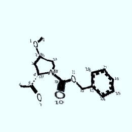 CO[C@@H]1C[C@@H](C(C)=O)N(C(=O)OCc2ccccc2)C1